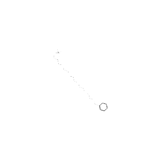 CC1(C)OCC(COCCOCCOCCOCCOCc2ccccc2)O1